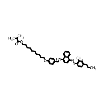 C=C(C)C(=O)OCCCCCCCCCCOc1ccc(CNc2ccc(/N=N/c3ccc(CCC)cc3C)c3ccccc23)cc1